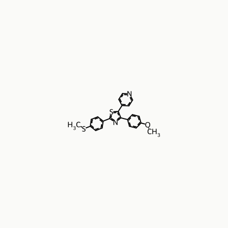 COc1ccc(-c2nc(-c3ccc(SC)cc3)sc2-c2ccncc2)cc1